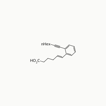 CCCCCCC#Cc1ccccc1/C=C/CCCC(=O)O